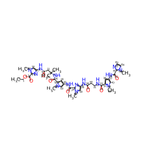 CCOC(=O)c1nc(NC(=O)CC(C)(C)NC(=O)c2cc(NC(=O)c3nc(NC(=O)CCNC(=O)c4cc(NC(=O)c5nccn5C)cn4C)cn3C)cn2C)cn1C